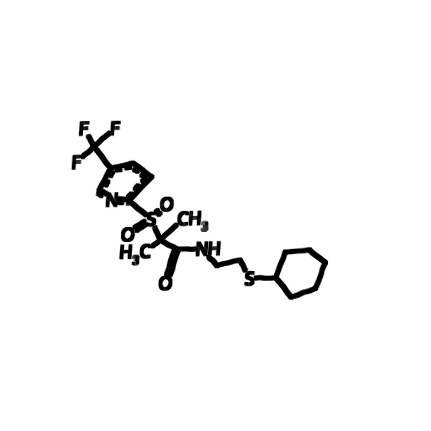 CC(C)(C(=O)NCCSC1CCCCC1)S(=O)(=O)c1ccc(C(F)(F)F)cn1